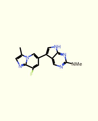 CNc1ncc2c(-c3cc(F)c4ncc(C)n4c3)c[nH]c2n1